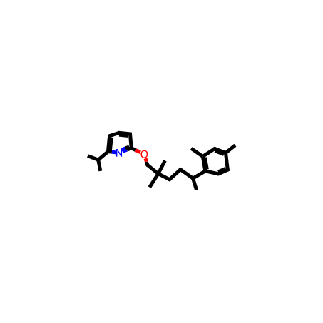 Cc1ccc(C(C)CCC(C)(C)COc2cccc(C(C)C)n2)c(C)c1